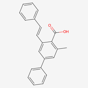 Cc1cc(-c2ccccc2)cc(C=Cc2ccccc2)c1C(=O)O